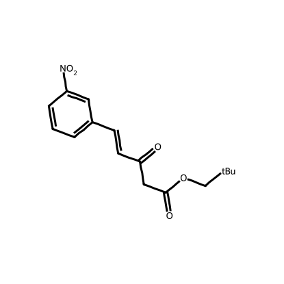 CC(C)(C)COC(=O)CC(=O)C=Cc1cccc([N+](=O)[O-])c1